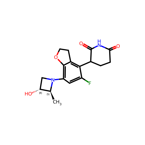 C[C@H]1[C@H](O)CN1c1cc(F)c(C2CCC(=O)NC2=O)c2c1OCC2